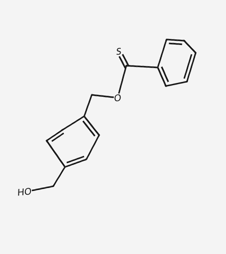 OCc1ccc(COC(=S)c2ccccc2)cc1